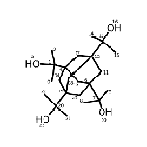 CC(C)(O)C12CC3(C(C)(C)O)CC(C(C)(C)O)(C1)CC(C(C)(C)O)(C2)C3